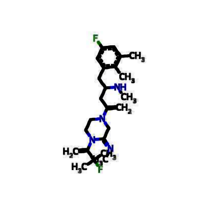 C=C(CC(Cc1cc(F)cc(C)c1C)NC)N1CCN(C(=C)C(C)(C)F)/C(=N\C)C1